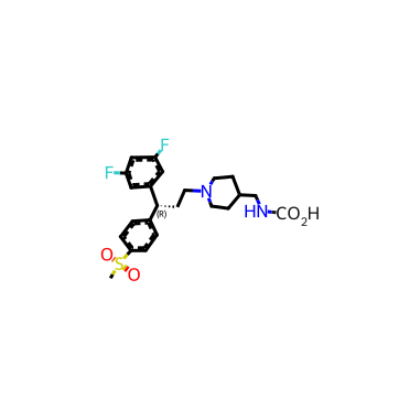 CS(=O)(=O)c1ccc([C@@H](CCN2CCC(CNC(=O)O)CC2)c2cc(F)cc(F)c2)cc1